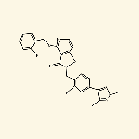 Cc1nn(C)cc1-c1ccc(CN2Cc3ccnc(OCc4ccccc4F)c3C2=O)c(F)c1